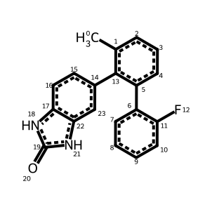 Cc1cccc(-c2ccccc2F)c1-c1ccc2[nH]c(=O)[nH]c2c1